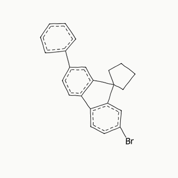 Brc1ccc2c(c1)C1(CCCC1)c1cc(-c3ccccc3)ccc1-2